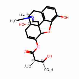 CC(=O)O[C@H](C(=O)OC1=CC[C@@]2(O)[C@H]3Cc4ccc(O)c5c4C2(CCN3C)C1O5)[C@H](O)C(=O)O